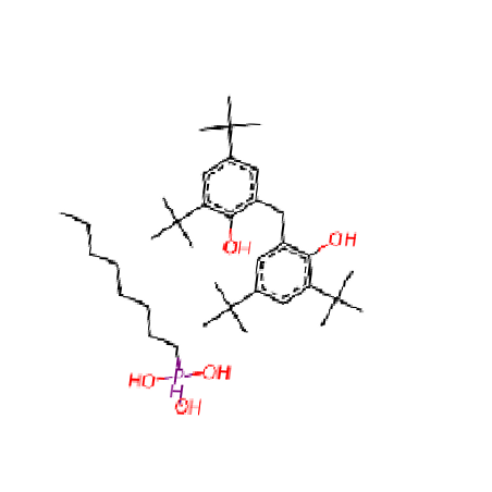 CC(C)(C)c1cc(Cc2cc(C(C)(C)C)cc(C(C)(C)C)c2O)c(O)c(C(C)(C)C)c1.CCCCCCCC[PH](O)(O)O